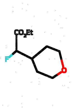 CCOC(=O)C(F)C1CCOCC1